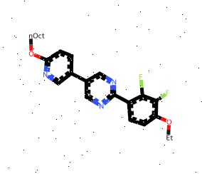 CCCCCCCCOc1ccc(-c2cnc(-c3ccc(OCC)c(F)c3F)nc2)cn1